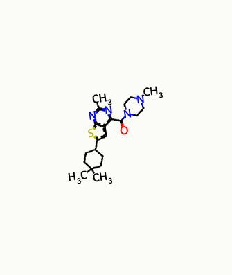 Cc1nc(C(=O)N2CCN(C)CC2)c2cc(C3CCC(C)(C)CC3)sc2n1